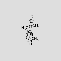 CCn1nc(-c2cc(C)c(-c3ccc(C4CC4)cn3)cc2C)nc1Nc1ccc2c(c1)C(C)NC2=O